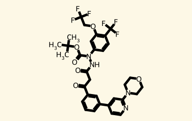 CC(C)(C)OC(=O)N(NC(=O)CC(=O)c1cccc(-c2ccnc(N3CCOCC3)c2)c1)c1ccc(C(F)(F)F)c(OCC(F)(F)F)c1